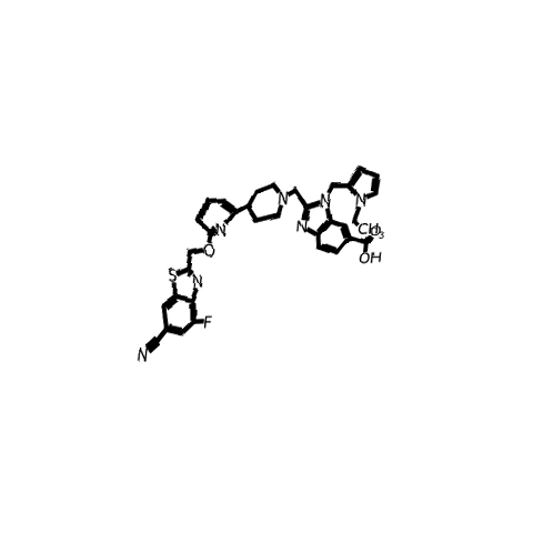 CCn1cccc1Cn1c(CN2CCC(c3cccc(OCc4nc5c(F)cc(C#N)cc5s4)n3)CC2)nc2ccc(C(=O)O)cc21